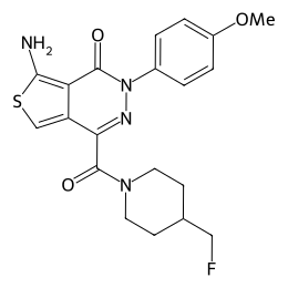 COc1ccc(-n2nc(C(=O)N3CCC(CF)CC3)c3csc(N)c3c2=O)cc1